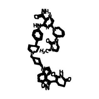 CN1CCN([C@@H]2CCCN(c3cnc(C(N)=O)c(Nc4ccc(C5CCN(CC6CC(n7ccc8c9c(C%10CCC(=O)NC%10=O)noc9ccc87)C6)CC5)cc4)n3)C2)C1=O